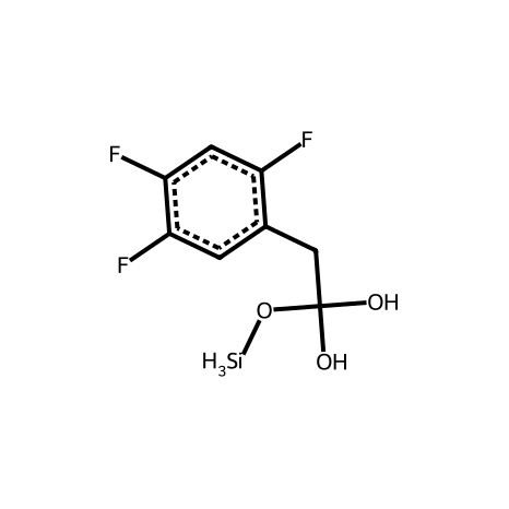 OC(O)(Cc1cc(F)c(F)cc1F)O[SiH3]